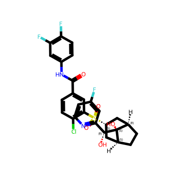 O=C(Nc1ccc(F)c(F)c1)c1ccc(Cl)c(S(=O)(=O)[C@@H]2C[C@H]3CC[C@@H](C2)[C@@]3(O)[C@H](O)c2cc(F)ccn2)c1